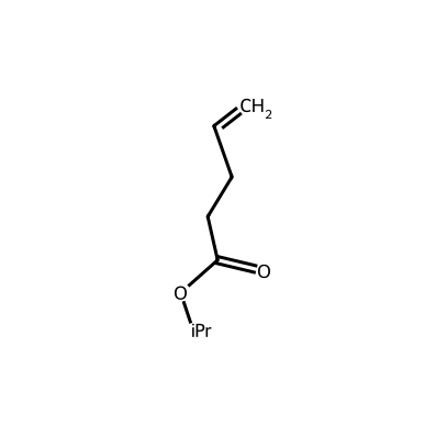 C=CCCC(=O)OC(C)C